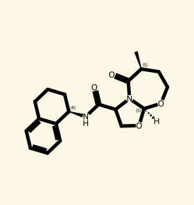 C[C@H]1CCO[C@H]2OCC(C(=O)N[C@@H]3CCCc4ccccc43)N2C1=O